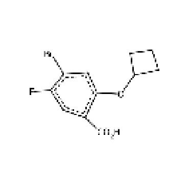 O=C(O)c1cc(F)c(Br)cc1OC1CCC1